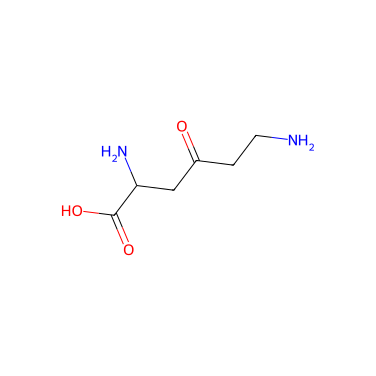 NCCC(=O)CC(N)C(=O)O